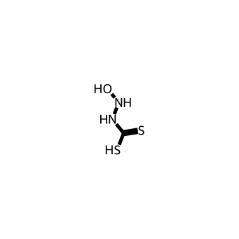 ONNC(=S)S